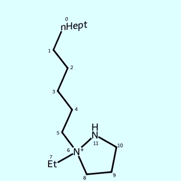 CCCCCCCCCCCC[N+]1(CC)CCCN1